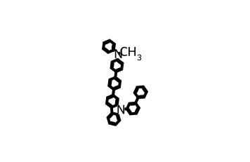 CN(c1ccccc1)c1ccc(-c2ccc(-c3ccc4c5ccccc5n(-c5cccc(-c6ccccc6)c5)c4c3)cc2)cc1